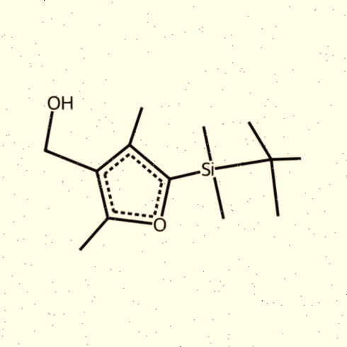 Cc1oc([Si](C)(C)C(C)(C)C)c(C)c1CO